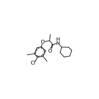 Cc1cc(OC(C)C(=O)NC2CCCCC2)cc(C)c1Cl